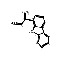 C=CC(=C)c1cccc2c1oc1ccccc12